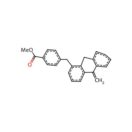 C=C1c2ccccc2Cc2c(Cc3ccc(C(=O)OC)cc3)cccc21